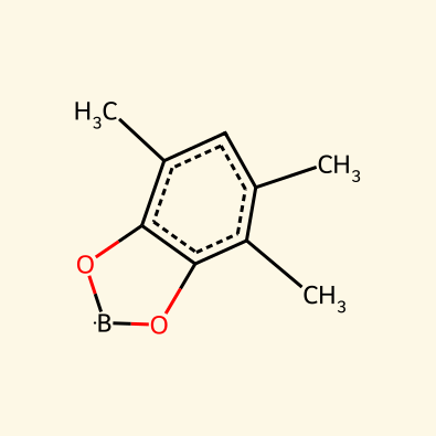 Cc1cc(C)c2c(c1C)O[B]O2